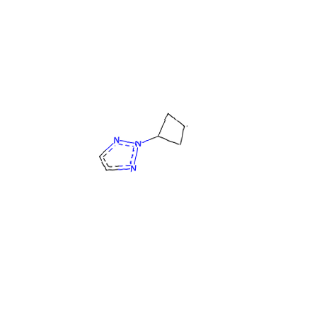 [CH]1CC(n2nccn2)C1